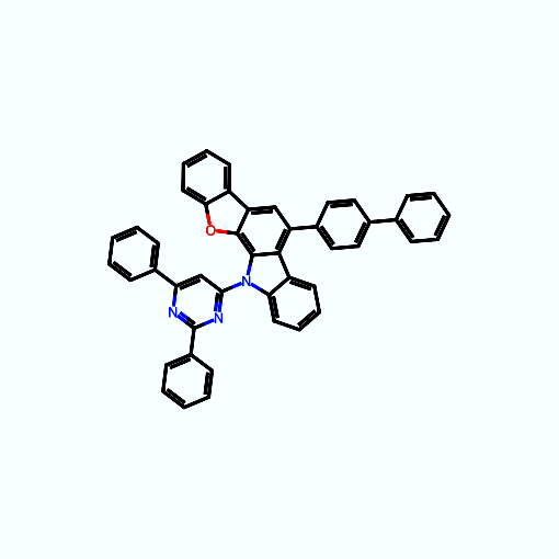 c1ccc(-c2ccc(-c3cc4c5ccccc5oc4c4c3c3ccccc3n4-c3cc(-c4ccccc4)nc(-c4ccccc4)n3)cc2)cc1